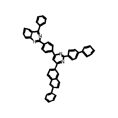 c1ccc(-c2ccc(-c3nc(-c4ccc(-c5nc(-c6ccccc6)c6ccccc6n5)cc4)cc(-c4ccc5cc(-c6ccccc6)ccc5c4)n3)cc2)cc1